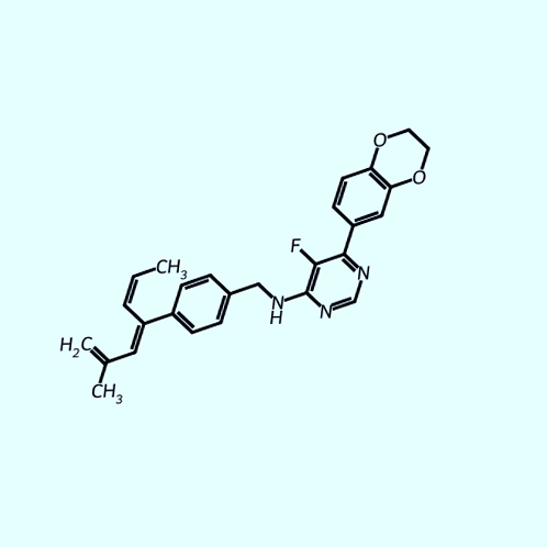 C=C(C)/C=C(\C=C/C)c1ccc(CNc2ncnc(-c3ccc4c(c3)OCCO4)c2F)cc1